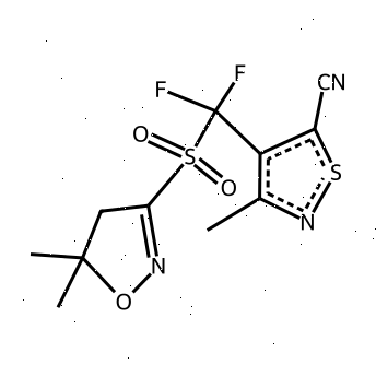 Cc1nsc(C#N)c1C(F)(F)S(=O)(=O)C1=NOC(C)(C)C1